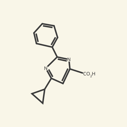 O=C(O)c1cc(C2CC2)nc(-c2ccccc2)n1